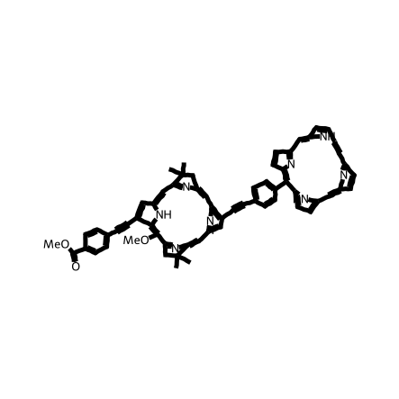 COC(=O)c1ccc(C#Cc2cc3cc4nc(cc5[nH]c(cc6nc(c(OC)c2[nH]3)CC6(C)C)cc5C#Cc2ccc(-c3c5nc(cc6ccc(cc7nc(cc8ccc3[nH]8)C=C7)[nH]6)C=C5)cc2)CC4(C)C)cc1